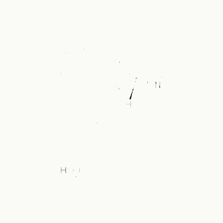 O=C(O)CCCc1ccc(C2(C(=O)O[C@H]3CN4CCC3CC4)CCCCC2)cc1